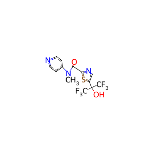 CN(C(=O)c1ncc(C(O)(C(F)(F)F)C(F)(F)F)s1)c1ccncc1